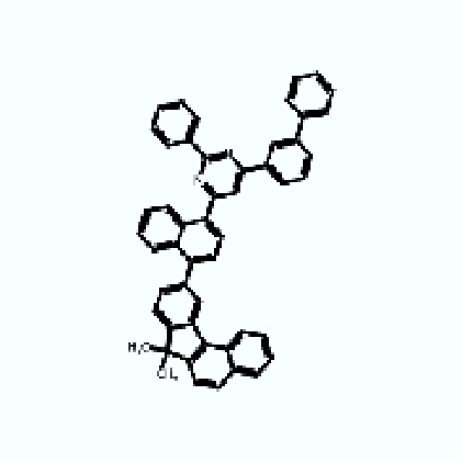 CC1(C)c2ccc(-c3ccc(-c4cc(-c5cccc(-c6ccccc6)c5)nc(-c5ccccc5)n4)c4ccccc34)cc2-c2c1ccc1ccccc21